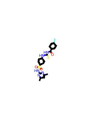 Cc1cc(C)nc(NS(=O)(=O)c2ccc(NC(=S)NC(=O)c3ccc(F)cc3)cc2)n1